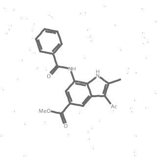 COC(=O)c1cc(NC(=O)c2ccccc2)c2[nH]c(C)c(C(C)=O)c2c1